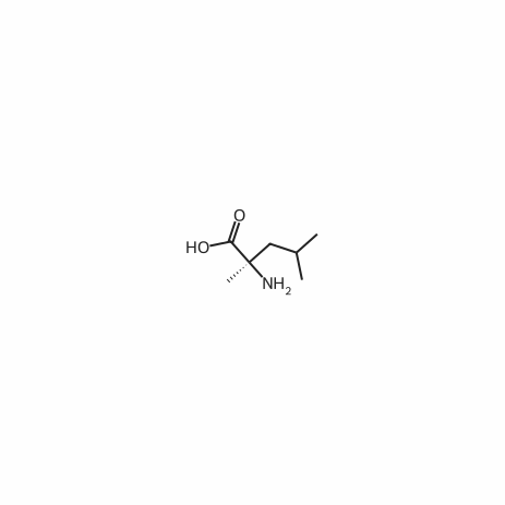 CC(C)C[C@@](C)(N)C(=O)O